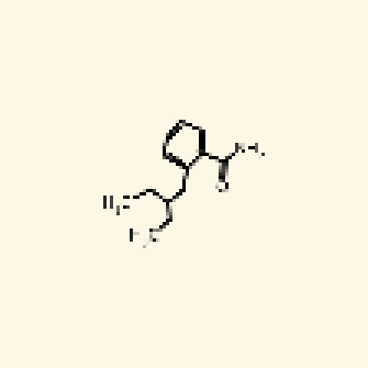 CCC(CC)Cc1ccccc1C(N)=O